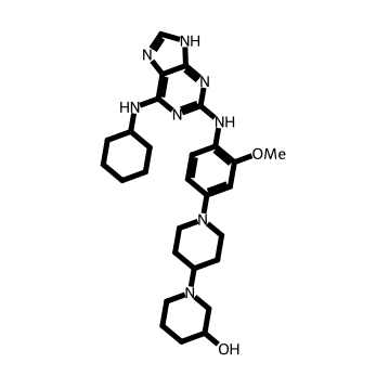 COc1cc(N2CCC(N3CCCC(O)C3)CC2)ccc1Nc1nc(NC2CCCCC2)c2nc[nH]c2n1